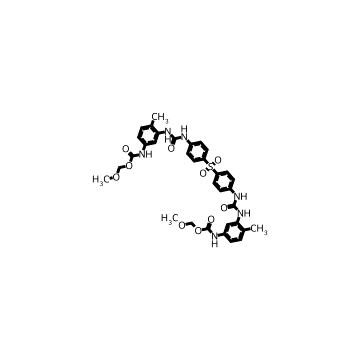 COCOC(=O)Nc1ccc(C)c(NC(=O)Nc2ccc(S(=O)(=O)c3ccc(NC(=O)Nc4cc(NC(=O)OCOC)ccc4C)cc3)cc2)c1